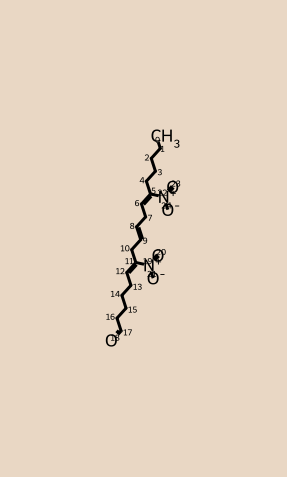 CCCCCC(=CCC=CCC(=CCCCCC=O)[N+](=O)[O-])[N+](=O)[O-]